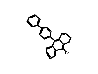 Brc1c2c(c(-c3ccc(-c4ccccc4)cc3)c3ccccc13)C=CCC2